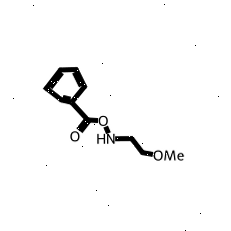 COCCNOC(=O)c1ccccc1